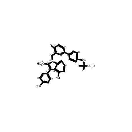 CCOC(=O)C(C)(C)Oc1ccc(-c2ccc(C)c(Cn3c(C(=O)O)c(-c4ccc(C(C)(C)C)cc4)c4c(CC)cccc43)c2)cc1